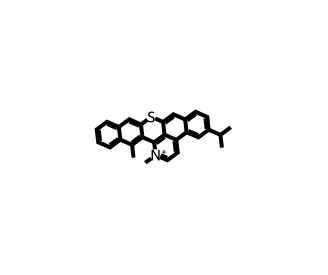 Cc1c2c(cc3ccccc13)Sc1cc3ccc(C(C)C)cc3c3cc[n+](C)c-2c13